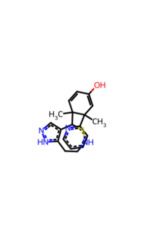 CC1(c2ccccn2)C=C(O)C=CC1(C)C1SNCCc2[nH]ncc21